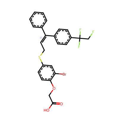 O=C(O)COc1ccc(SC/C=C(/c2ccccc2)c2ccc(C(F)(F)CF)cc2)cc1Br